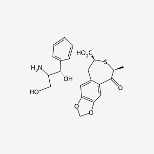 C[C@@H]1S[C@H](C(=O)O)Cc2cc3c(cc2C1=O)OCO3.NC(CO)[C@@H](O)c1ccccc1